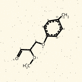 COC(C=O)COc1ccc(C)cc1